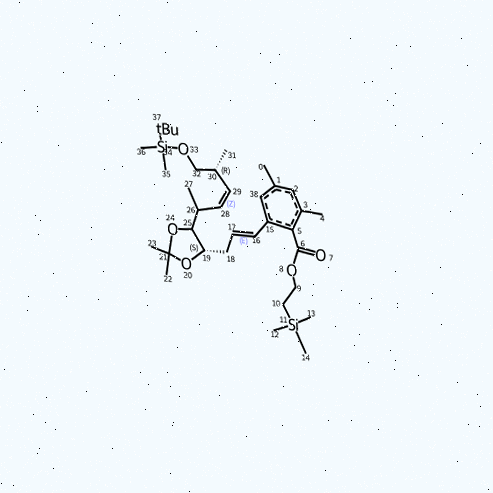 Cc1cc(C)c(C(=O)OCC[Si](C)(C)C)c(/C=C/C[C@@H]2OC(C)(C)OC2C(C)/C=C\[C@@H](C)CO[Si](C)(C)C(C)(C)C)c1